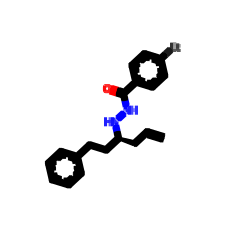 C=CC[C@@H](CCc1ccccc1)NNC(=O)c1ccc(CC)cc1